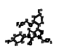 O=C1c2c(c(-c3ccc(F)cc3OCC(F)(F)F)nn2CC(F)(F)F)CN1c1ccc(F)cc1